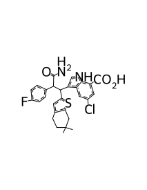 CC1(C)CCc2cc(C(c3c[nH]c4c(C(=O)O)cc(Cl)cc34)C(C(N)=O)c3ccc(F)cc3)sc2C1